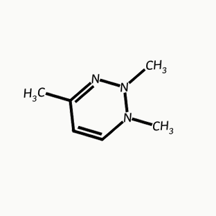 CC1=NN(C)N(C)C=C1